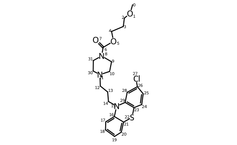 COCCCOC(=O)N1CCN(CCCN2c3ccccc3Sc3ccc(Cl)cc32)CC1